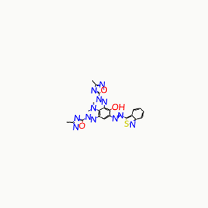 Cc1noc(/N=N/c2cc(/N=N/c3snc4ccccc34)c(O)c(/N=N/c3nc(C)no3)c2N(C)C)n1